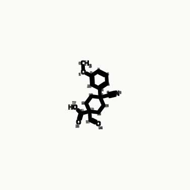 COc1cccc(C2(C#N)CCC(C=O)(C(=O)O)CC2)c1